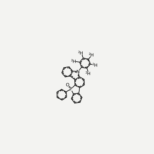 [2H]c1c([2H])c([2H])c(-n2c3ccccc3c3c4c(ccc32)-c2ccccc2P4(=O)c2ccccc2)c([2H])c1[2H]